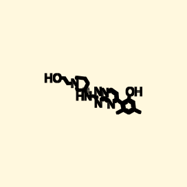 Cc1cc(C)c(-c2ccn3nc(N[C@@H]4CCCN(CCO)C4)nc3n2)c(O)c1